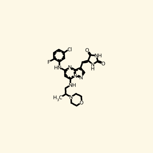 CC(CNc1cc(Nc2cc(Cl)ccc2F)nc2c(/C=C3\NC(=O)NC3=O)cnn12)N1CCOCC1